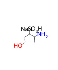 CC(N)C(CCO)S(=O)(=O)O.[NaH]